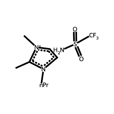 CCCn1cc[n+](C)c1C.NS(=O)(=O)C(F)(F)F